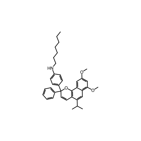 CCCCCCCNc1ccc(C2(c3ccccc3)C=Cc3c(C(C)C)cc4c(OC)cc(OC)cc4c3O2)cc1